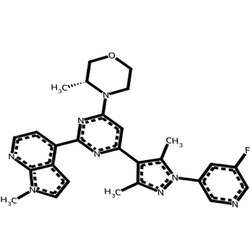 Cc1nn(-c2cncc(F)c2)c(C)c1-c1cc(N2CCOC[C@H]2C)nc(-c2ccnc3c2ccn3C)n1